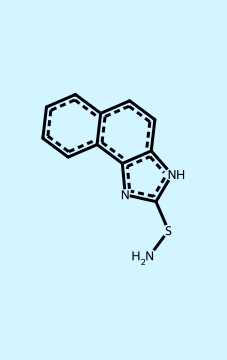 NSc1nc2c(ccc3ccccc32)[nH]1